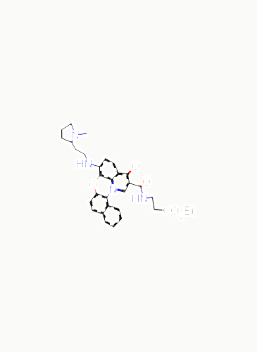 CCOC(=O)CCNC(=O)c1cn2c3c(c(NCCC4CCCN4C)ccc3c1=O)Oc1ccc3ccccc3c1-2